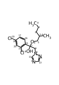 CCCC(C)COC(O)(Cn1cncn1)c1ccc(Cl)cc1Cl